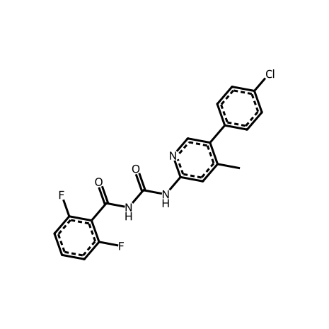 Cc1cc(NC(=O)NC(=O)c2c(F)cccc2F)ncc1-c1ccc(Cl)cc1